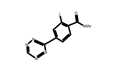 CNC(=O)c1ccc(-c2nncnn2)cc1I